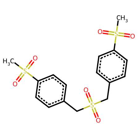 CS(=O)(=O)c1ccc(CS(=O)(=O)Cc2ccc(S(C)(=O)=O)cc2)cc1